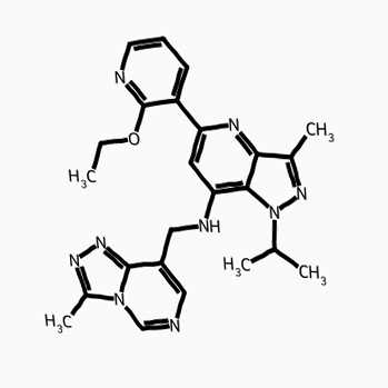 CCOc1ncccc1-c1cc(NCc2cncn3c(C)nnc23)c2c(n1)c(C)nn2C(C)C